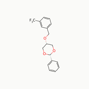 FC(F)(F)c1cccc(CO[C@H]2CO[C@@H](c3ccccc3)OC2)c1